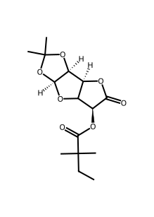 CCC(C)(C)C(=O)O[C@@H]1C(=O)O[C@H]2C1O[C@H]1OC(C)(C)O[C@H]12